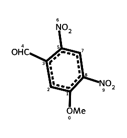 COc1cc(C=O)c([N+](=O)[O-])cc1[N+](=O)[O-]